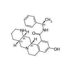 C[C@@H](NC(=O)c1cc(O)cc2c1[C@H]1C[C@H]3NCCC[C@H]3CN1CC2)c1ccccc1